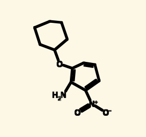 Nc1c(OC2CCCCC2)cccc1[N+](=O)[O-]